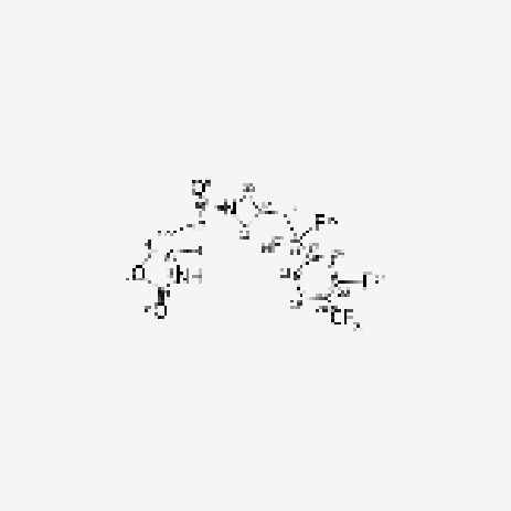 O=C1N[C@]2(CO1)C[C@@H](C(=O)N1CC(CC(F)(F)c3ccc(C(F)(F)F)c(F)c3)C1)C2